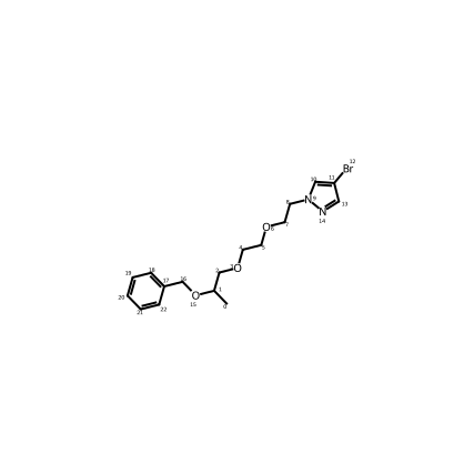 CC(COCCOCCn1cc(Br)cn1)OCc1ccccc1